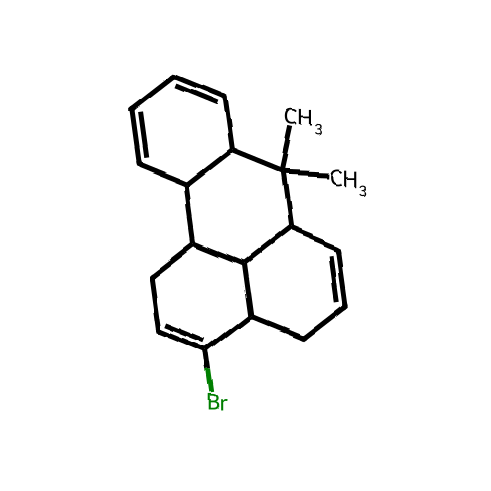 CC1(C)C2C=CC=CC2C2CC=C(Br)C3CC=CC1C32